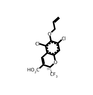 C=CCOc1c(Cl)cc2c(c1Cl)C=C(C(=O)O)[C@@H](C(F)(F)F)O2